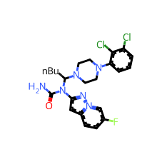 CCCCC(N1CCN(c2cccc(Cl)c2Cl)CC1)N(C(N)=O)c1cc2ccc(F)cn2n1